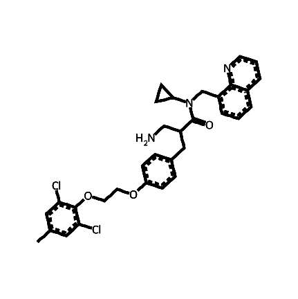 Cc1cc(Cl)c(OCCOc2ccc(CC(CN)C(=O)N(Cc3cccc4cccnc34)C3CC3)cc2)c(Cl)c1